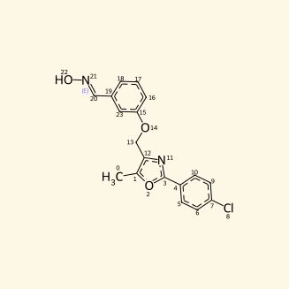 Cc1oc(-c2ccc(Cl)cc2)nc1COc1cccc(/C=N/O)c1